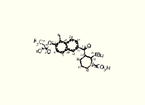 Cc1c(OS(=O)(=O)C(F)(F)F)ccc2cc(C(=O)C3CCCN(C(=O)O)C3C(C)(C)C)ccc12